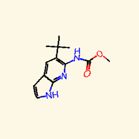 COC(=O)Nc1nc2[nH]ccc2cc1C(C)(C)C